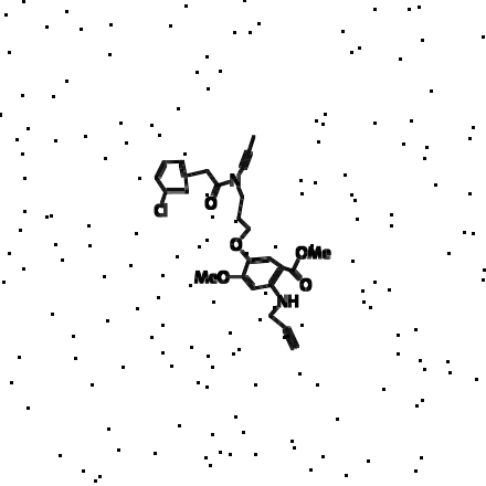 C#CCNc1cc(OC)c(OCCCN(C#CC)C(=O)Cc2cccc(Cl)c2)cc1C(=O)OC